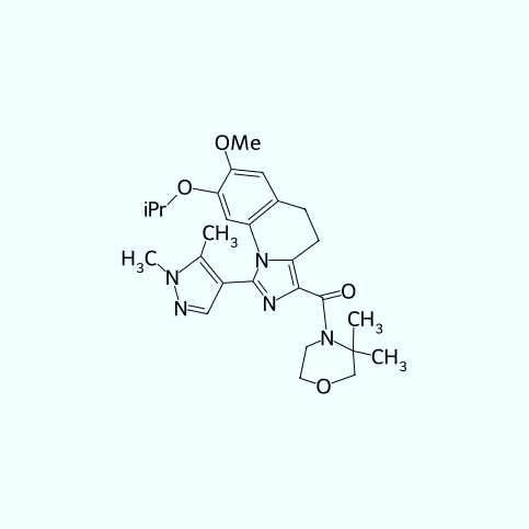 COc1cc2c(cc1OC(C)C)-n1c(-c3cnn(C)c3C)nc(C(=O)N3CCOCC3(C)C)c1CC2